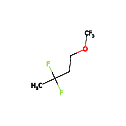 CC(F)(F)CCOC(F)(F)F